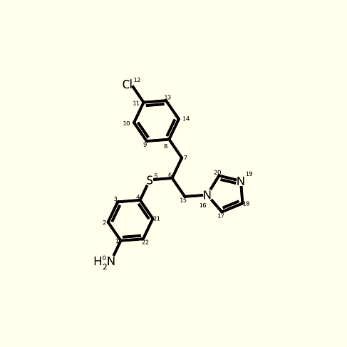 Nc1ccc(SC(Cc2ccc(Cl)cc2)Cn2ccnc2)cc1